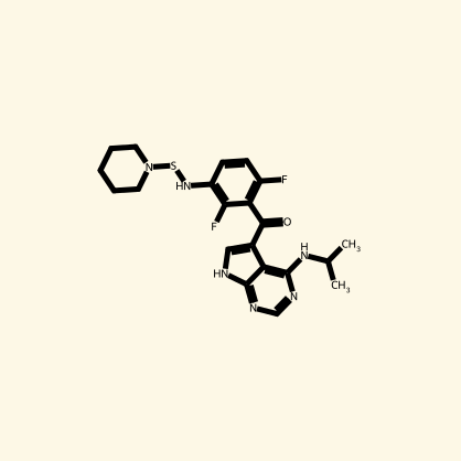 CC(C)Nc1ncnc2[nH]cc(C(=O)c3c(F)ccc(NSN4CCCCC4)c3F)c12